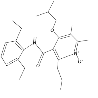 CCCc1c(C(=O)Nc2c(CC)cccc2CC)c(OCC(C)C)c(C)c(C)[n+]1[O-]